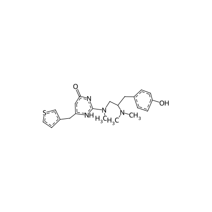 CN(CC(Cc1ccc(O)cc1)N(C)C)c1nc(=O)cc(Cc2ccsc2)[nH]1